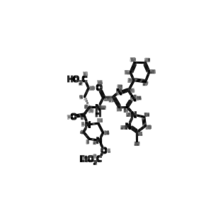 CCOC(=O)ON1CCN(C(=O)[C@H](CCC(=O)O)NC(=O)c2cc(-n3ccc(C)n3)nc(-c3ccccc3)n2)CC1